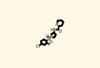 O=C(Nc1ccn(S(=O)(=O)c2ccc(Cl)cc2F)c1)c1ccccn1